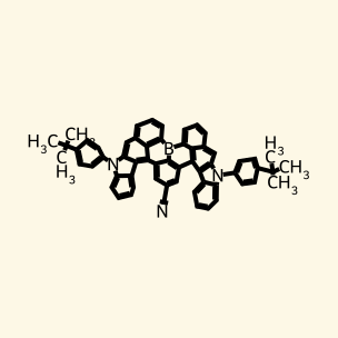 CC(C)(C)c1ccc(-n2c3ccccc3c3c4c5c(cccc5cc32)B2c3c-4cc(C#N)cc3-c3c4c2cccc4cc2c3c3ccccc3n2-c2ccc(C(C)(C)C)cc2)cc1